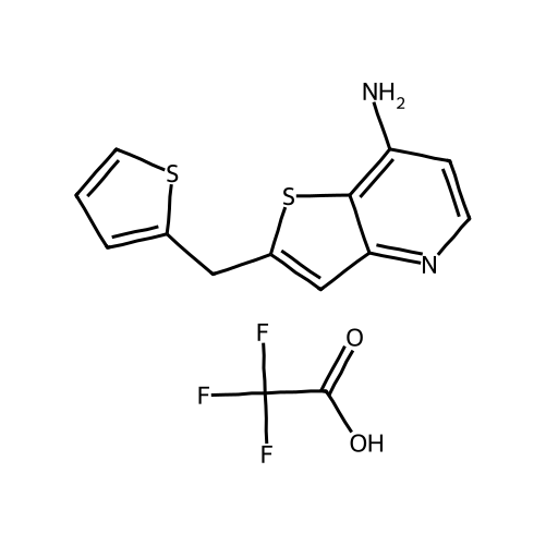 Nc1ccnc2cc(Cc3cccs3)sc12.O=C(O)C(F)(F)F